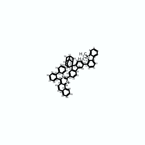 CS1(C)c2ccccc2-c2cccc(-c3ccc4c(c3)-c3ccc(-c5nc(-c6ccccc6-c6ccccc6)c6ccc7ccccc7c6n5)cc3C43C4CC5CC(C4)CC3C5)c21